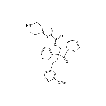 COc1cccc(CCC(COC(=O)C(=O)ON2CCNCC2)(C(=O)c2ccccc2)c2ccccc2)c1